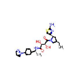 CC[C@@H]1C[C@H](c2csc(N)n2)N(C(=O)[C@H](O)[C@@H](O)C(=O)N[C@H](C)c2ccc(-n3cccn3)cc2)C1